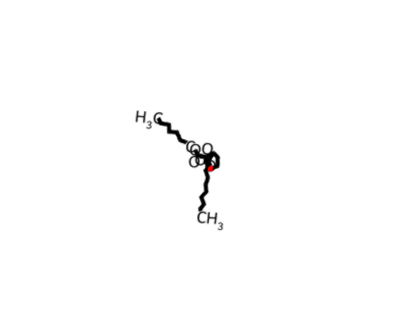 CCCCCCCCOC(=O)C12CCCCC1(C(=O)OCCCCCCCC)O2